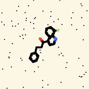 O=C(CCc1ccccc1)c1ccnc2c(F)cccc12